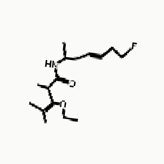 CCOC(=C(C)C)C(C)C(=O)NC(C)CC=CCCF